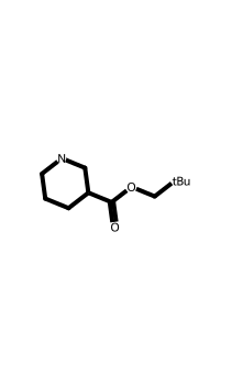 CC(C)(C)COC(=O)C1CCC[N]C1